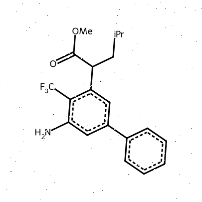 COC(=O)C(CC(C)C)c1cc(-c2ccccc2)cc(N)c1C(F)(F)F